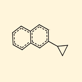 [c]1cc2ccccc2cc1C1CC1